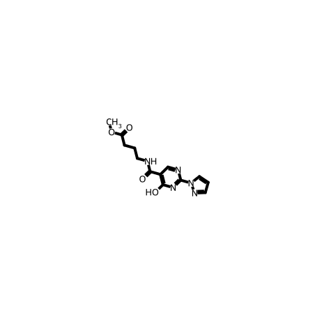 COC(=O)CCCNC(=O)c1cnc(-n2cccn2)nc1O